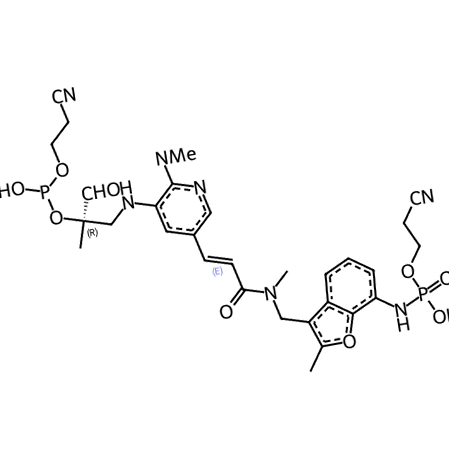 CNc1ncc(/C=C/C(=O)N(C)Cc2c(C)oc3c(NP(=O)(O)OCCC#N)cccc23)cc1NC[C@](C)(C=O)OP(O)OCCC#N